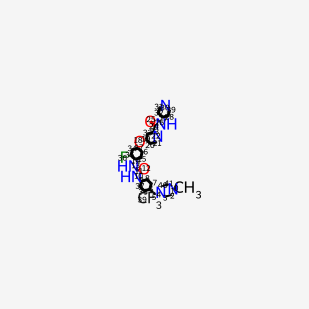 CN1CCN(Cc2ccc(NC(=O)Nc3ccc(Oc4ccnc(C(=O)Nc5ccncc5)c4)cc3F)cc2C(F)(F)F)CC1